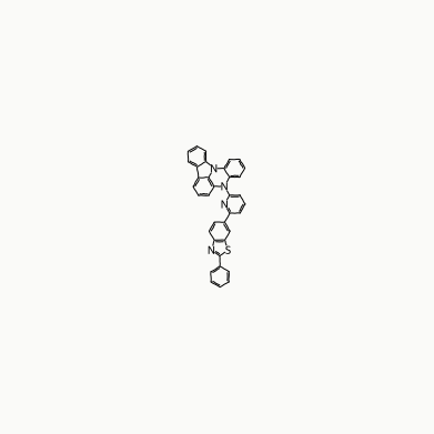 c1ccc(-c2nc3ccc(-c4cccc(N5c6ccccc6-n6c7ccccc7c7cccc5c76)n4)cc3s2)cc1